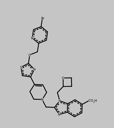 O=C(O)c1ccc2nc(CN3CC=C(c4csc(OCc5ccc(Br)cn5)n4)CC3)n(CC3CCO3)c2c1